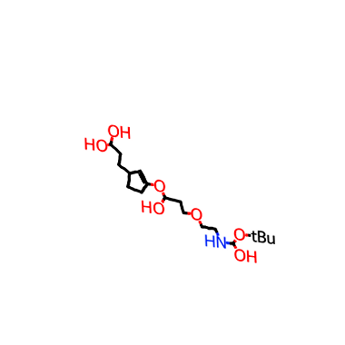 CC(C)(C)OC(O)NCCOCCC(O)OC1=CC(CCC(O)O)CC1